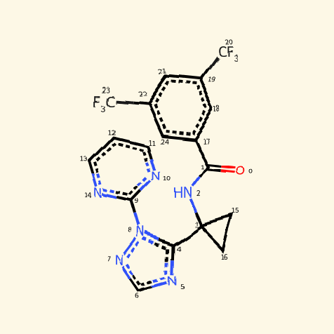 O=C(NC1(c2ncnn2-c2ncccn2)CC1)c1cc(C(F)(F)F)cc(C(F)(F)F)c1